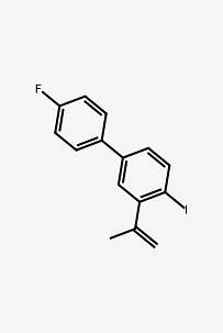 C=C(C)c1cc(-c2ccc(F)cc2)ccc1I